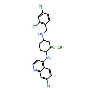 Cl.Cl.Clc1ccc(CNC2CCC(Nc3ccnc4cc(Cl)ccc34)CC2)c(Cl)c1